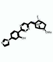 CO[C@@H]1CC2NC1C/C(=C\c1cnc(-c3ccc(-n4ccnc4)cc3O)nn1)[C@@H]2F